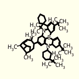 CC1/C=C2\C3CC(CC1C1=CC4=C5B(C6=CC=C(C(C)(C)C)CC6N4C4CCCC(C(C)(C)C)C4)C4C=C(C(C)(C)C)C=C6C4N(C5C1)C(C)(C)C61CCCCC1)C(C)C3[C@H]2C